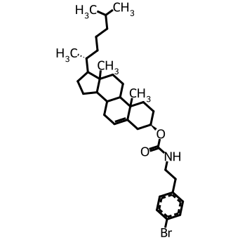 CC(C)CCC[C@@H](C)C1CCC2C3CC=C4C[C@H](OC(=O)NCCc5ccc(Br)cc5)CCC4(C)C3CCC21C